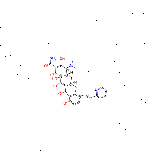 CN(C)[C@@H]1C(O)=C(C(N)=O)C(=O)[C@@]2(O)C(O)=C3C(=O)c4c(O)ccc(/C=C/c5ccccn5)c4C[C@H]3C[C@@H]12